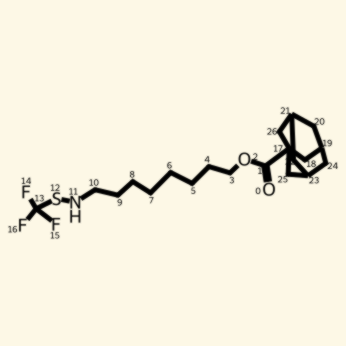 O=C(OCCCCCCCCNSC(F)(F)F)C12CC3CC(CC(C3)C1)C2